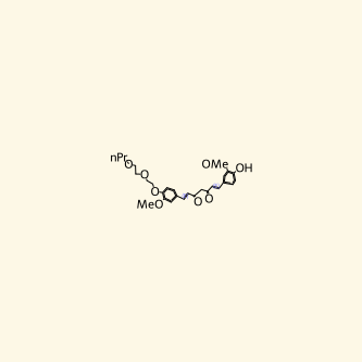 CCCOCCOCCOc1ccc(/C=C/C(=O)CC(=O)/C=C/c2ccc(O)c(OC)c2)cc1OC